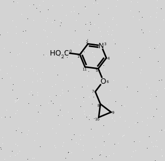 O=C(O)c1cncc(OCC2CC2)c1